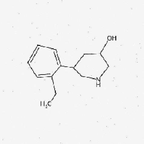 CCc1ccccc1C1CNCC(O)C1